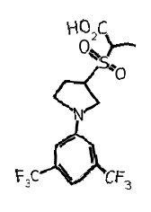 CC(C(=O)O)S(=O)(=O)C1CCN(c2cc(C(F)(F)F)cc(C(F)(F)F)c2)C1